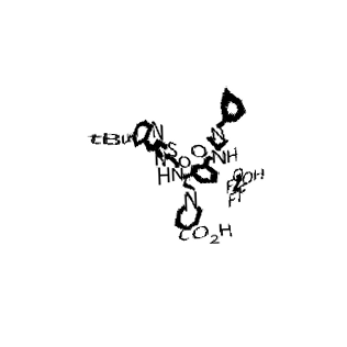 CC(C)(C)[C@H]1CCc2nc3sc(C(=O)N[C@H](CCN4CCC(C(=O)O)CC4)c4cccc(C(=O)NC5CN(Cc6ccccc6)C5)c4)nc3cc2C1.O=C(O)C(F)(F)F